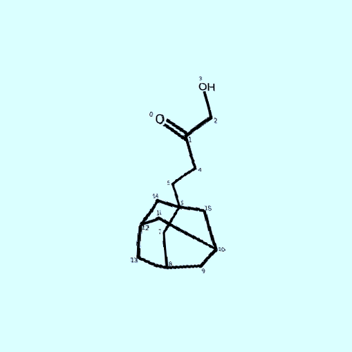 O=C(CO)CCC12CC3CC(CC(C3)C1)C2